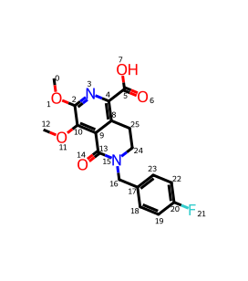 COc1nc(C(=O)O)c2c(c1OC)C(=O)N(Cc1ccc(F)cc1)CC2